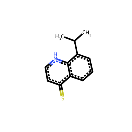 CC(C)c1cccc2c(=S)cc[nH]c12